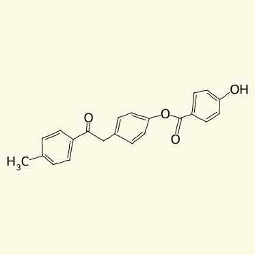 Cc1ccc(C(=O)Cc2ccc(OC(=O)c3ccc(O)cc3)cc2)cc1